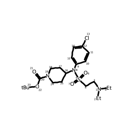 CCN(CC)CCS(=O)(=O)N(c1ccc(Cl)cc1)C1CCN(C(=O)OC(C)(C)C)CC1